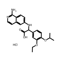 CCOc1cc(C(Nc2ccc3c(N)nccc3c2)C(=O)O)ccc1OC(C)C.Cl